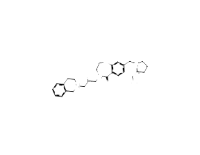 O=C1c2ccc(CN3CCC[C@H]3CO)cc2OCCN1C[C@H](O)CN1CCc2ccccc2C1